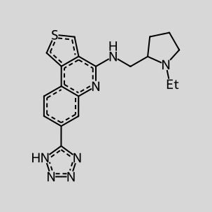 CCN1CCCC1CNc1nc2cc(-c3nnn[nH]3)ccc2c2cscc12